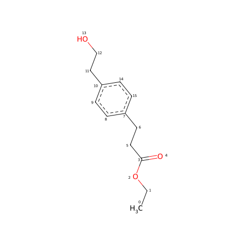 CCOC(=O)CCc1ccc(CCO)cc1